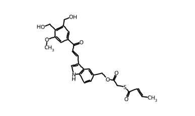 C/C=C/C(=O)SCC(=O)OCc1ccc2[nH]cc(/C=C/C(=O)c3cc(CO)c(CO)c(OC)c3)c2c1